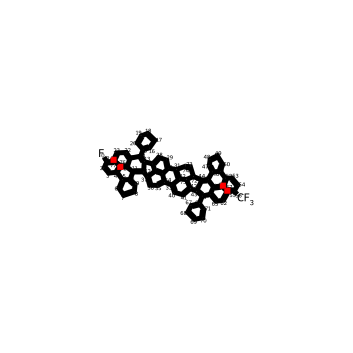 Fc1ccc(-c2ccccc2-c2c3c(c(-c4ccccc4)c4ccccc24)-c2ccc4c5c6c(c7ccc-3c2c47)=CC=C2c3c(c(-c4ccccc4-c4ccc(C(F)(F)F)cc4)c4ccccc4c3-c3ccccc3)C(C=C5)C26)cc1